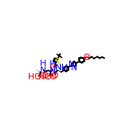 CCCCCCCOc1ccc(-c2cnc(-c3ccc(C[C@H](NC(=O)c4ccc(C(C)(C)C)s4)C(=O)NC(CC(=O)N[C@@H](C)C(=O)O)C(=O)O)cc3)nc2)cc1